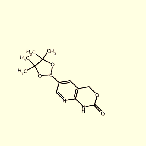 CC1(C)OB(c2cnc3c(c2)COC(=O)N3)OC1(C)C